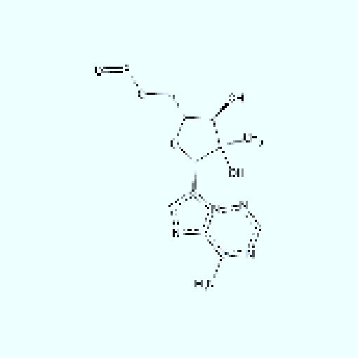 C[C@@]1(O)[C@H](O)[C@@H](COP=O)O[C@H]1c1cnc2c(N)ncnn12